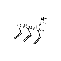 C=CC(=O)O.C=CC(=O)O.C=CC(=O)O.[Al+3].[Al+3]